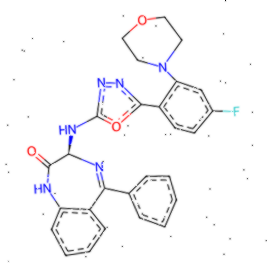 O=C1Nc2ccccc2C(c2ccccc2)=N[C@@H]1Nc1nnc(-c2ccc(F)cc2N2CCOCC2)o1